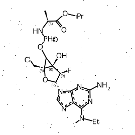 CCN(C)c1nc(N)nc2c1ncn2[C@@H]1O[C@]2(CCl)C(O[PH](=O)N[C@@H](C)C(=O)OC(C)C)[C@]2(O)[C@H]1F